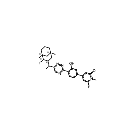 CN(c1cnc(-c2ccc(-c3cc(F)n(C)c(=O)c3)cc2O)nn1)[C@@H]1C[C@@]2(C)CCC[C@](C)(C2)[C@@H]1F